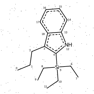 [CH2]CCc1c([Si](CC)(CC)CC)[nH]c2ccccc12